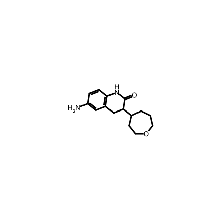 Nc1ccc2c(c1)CC(C1CCCOCC1)C(=O)N2